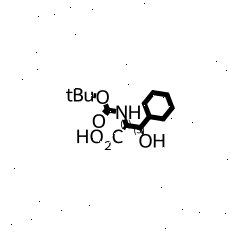 CC(C)(C)OC(=O)N[C@H](C(=O)O)[C@@H](O)C1CCCCC1